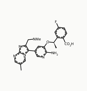 CNCc1nc2ncc(C)cn2c1-c1cnc(N)c(O[C@H](C)c2cc(F)ccc2C(=O)O)c1